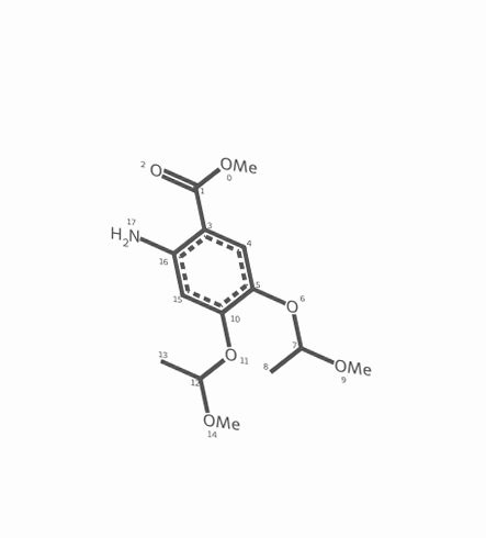 COC(=O)c1cc(OC(C)OC)c(OC(C)OC)cc1N